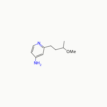 COC(C)CCc1cc(N)ccn1